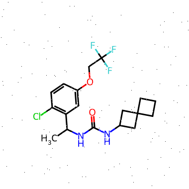 CC(NC(=O)NC1CC2(CCC2)C1)c1cc(OCC(F)(F)F)ccc1Cl